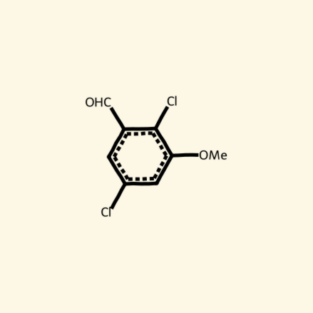 COc1cc(Cl)cc(C=O)c1Cl